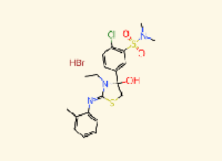 Br.CCN1C(=Nc2ccccc2C)SCC1(O)c1ccc(Cl)c(S(=O)(=O)N(C)C)c1